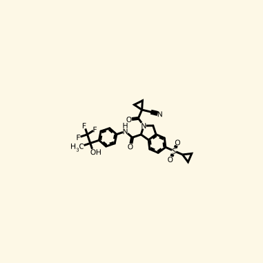 CC(O)(c1ccc(NC(=O)C2c3ccc(S(=O)(=O)C4CC4)cc3CN2C(=O)C2(C#N)CC2)cc1)C(F)(F)F